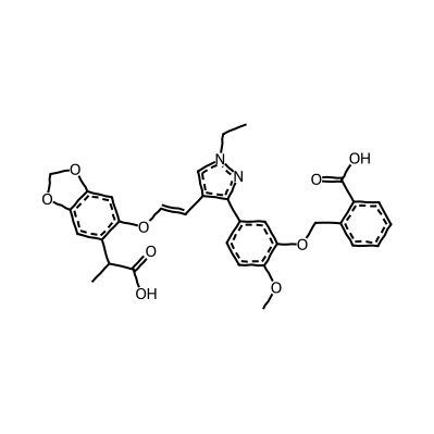 CCn1cc(C=COc2cc3c(cc2C(C)C(=O)O)OCO3)c(-c2ccc(OC)c(OCc3ccccc3C(=O)O)c2)n1